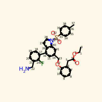 CCOC(=O)Cc1ccccc1OCc1cc(-c2cccc(CN)c2F)c2ccn(S(=O)(=O)c3ccc(C)cc3)c2c1